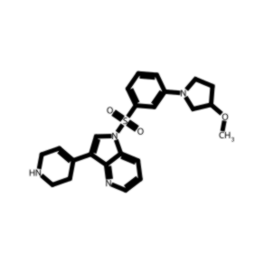 COC1CCN(c2cccc(S(=O)(=O)n3cc(C4=CCNCC4)c4ncccc43)c2)C1